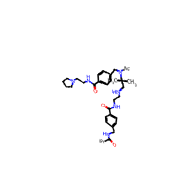 CC(=O)N(Cc1ccc(C(=O)NCCN2CCCC2)cc1)C(C)(C)CNCCNC(=O)c1ccc(CNC(=O)C(C)C)cc1